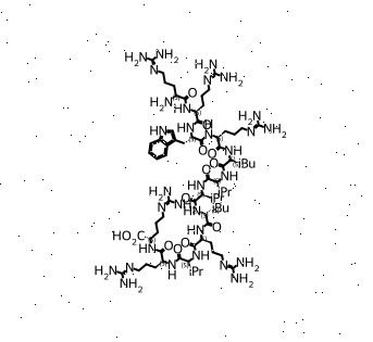 CC[C@H](C)[C@H](NC(=O)[C@H](CCCN=C(N)N)NC(=O)[C@H](Cc1c[nH]c2ccccc12)NC(=O)[C@H](CCCN=C(N)N)NC(=O)[C@@H](N)CCCN=C(N)N)C(=O)N[C@H](C(=O)N[C@H](C(=O)N[C@H](C(=O)N[C@@H](CCCN=C(N)N)C(=O)N[C@H](C(=O)N[C@@H](CCCN=C(N)N)C(=O)N[C@@H](CCCN=C(N)N)C(=O)O)C(C)C)[C@@H](C)CC)C(C)C)C(C)C